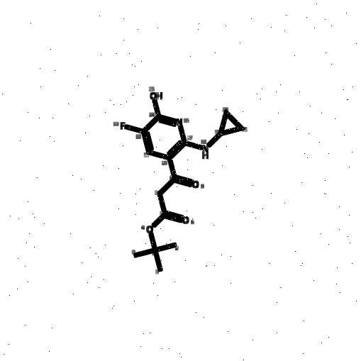 CC(C)(C)OC(=O)CC(=O)c1cc(F)c(O)nc1NC1CC1